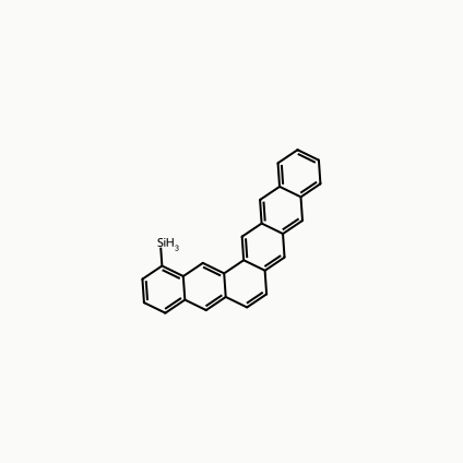 [SiH3]c1cccc2cc3ccc4cc5cc6ccccc6cc5cc4c3cc12